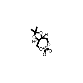 CC1(C)O[C@@H]2COS(=O)(=O)OC[C@H]2O1